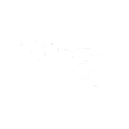 C=C(NC12CC(c3nc4cc(Cl)ccc4o3)(C1)C2)c1cccc(SC)c1